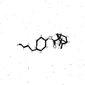 CCCCC1CCC(OC(=O)C23C(C)C4CC2C3C4C)CC1